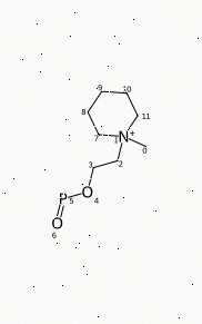 C[N+]1(CCOP=O)CCCCC1